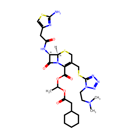 CC(OC(=O)CC1CCCCC1)OC(=O)C1=C(CSc2nnnn2CCN(C)C)CS[C@@H]2[C@H](NC(=O)Cc3csc(N)n3)C(=O)N12